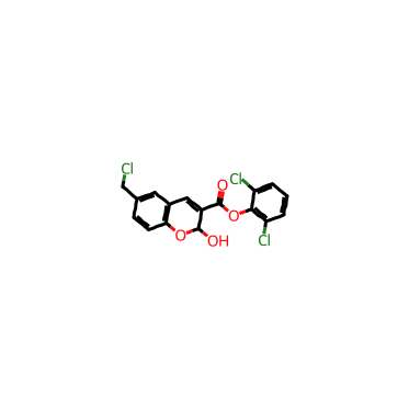 O=C(Oc1c(Cl)cccc1Cl)C1=Cc2cc(CCl)ccc2OC1O